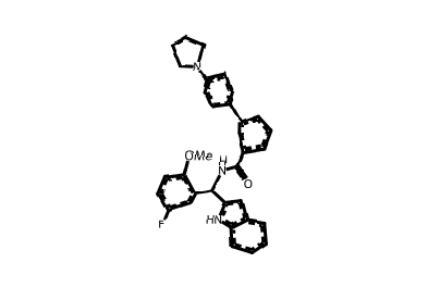 COc1ccc(F)cc1C(NC(=O)c1cccc(-c2ccc(N3CCCC3)cc2)c1)c1cc2ccccc2[nH]1